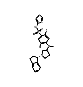 CN(c1cc(F)c(S(=O)(=O)Nc2cscn2)cc1Cl)C1CCN([C@H]2CCc3ccccc32)C1